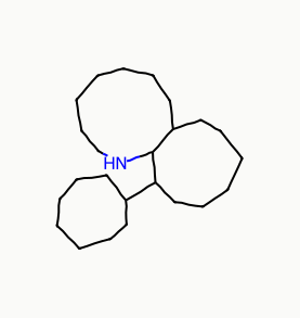 C1CCCC(C2CCCCCCC3CCCCCCCNC32)CCC1